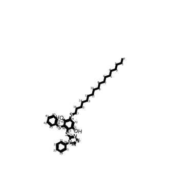 CCCCCCCCCCCCCCCCCCSc1cc(O)c(Sc2nnnn2-c2ccccc2)c(Sc2ccccc2)c1O